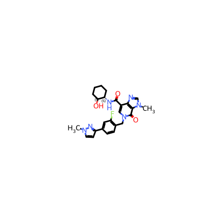 Cn1ccc(-c2ccc(Cn3cc(C(=O)N[C@H]4CCCC[C@@H]4O)c4ncn(C)c4c3=O)c(F)c2)n1